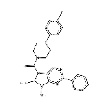 CN1c2nc(-c3ccccc3)ncc2N(C(=O)N2CCN(c3ccc(F)cc3)CC2)C1C=O